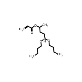 C=CC(=O)OC(C)CC[SiH](OCCCC)OCCCC